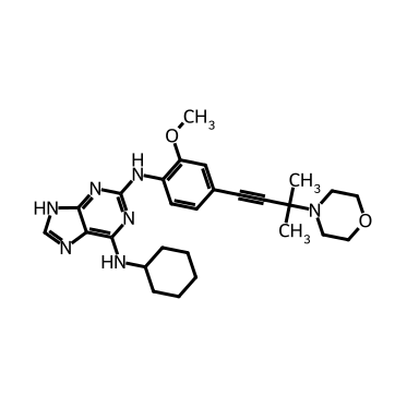 COc1cc(C#CC(C)(C)N2CCOCC2)ccc1Nc1nc(NC2CCCCC2)c2nc[nH]c2n1